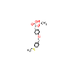 CCOC(Cc1ccc(OCCc2ccc(SC)cc2)cc1)C(=O)O